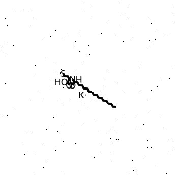 CCCCCCCCC=CCCCCCCCC(=O)NC(CCSC)C(=O)O.[K]